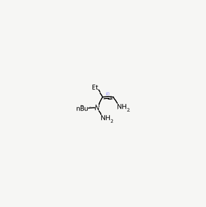 CCCCN(N)/C(=C\N)CC